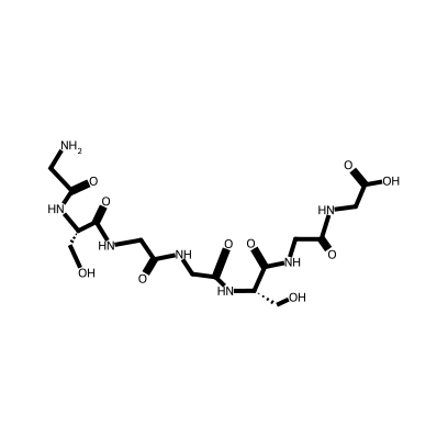 NCC(=O)N[C@@H](CO)C(=O)NCC(=O)NCC(=O)N[C@@H](CO)C(=O)NCC(=O)NCC(=O)O